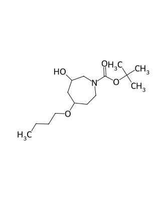 CCCCOC1CCN(C(=O)OC(C)(C)C)CC(O)C1